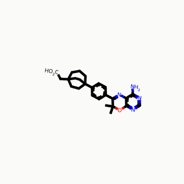 CC1(C)Oc2ncnc(N)c2N=C1c1ccc(C23CCCC(CC(=O)O)(CC2)CC3)cc1